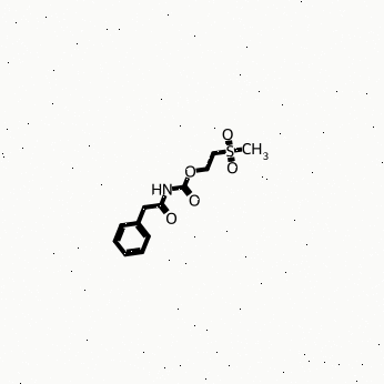 CS(=O)(=O)CCOC(=O)NC(=O)Cc1ccccc1